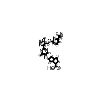 Cc1nc(-c2nnn(C)c2COc2nccc(C(F)(F)F)n2)ncc1OC1CC2CCC(C(=O)O)C2C1